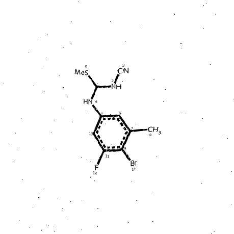 CSC(NC#N)Nc1cc(C)c(Br)c(F)c1